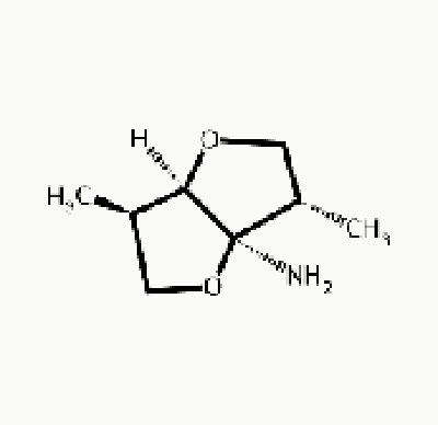 C[C@@H]1CO[C@@]2(N)[C@@H]1OC[C@@H]2C